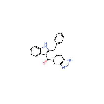 O=C(c1c(Cc2ccccc2)[nH]c2ccccc12)C1CCc2[nH]cnc2C1